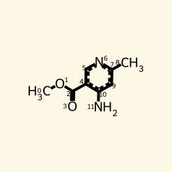 COC(=O)c1cnc(C)cc1N